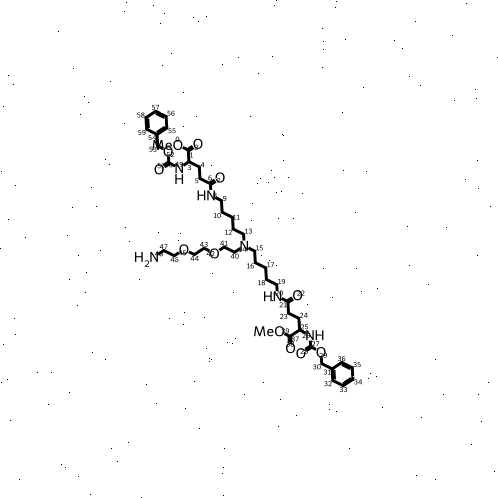 COC(=O)C(CCC(=O)NCCCCCN(CCCCCNC(=O)CCC(NC(=O)OCc1ccccc1)C(=O)OC)CCOCCOCCN)NC(=O)OCc1ccccc1